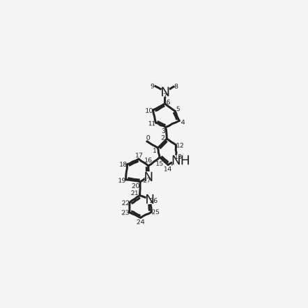 CC1=C(c2ccc(N(C)C)cc2)CN[C]=C1c1cccc(-c2ccccn2)n1